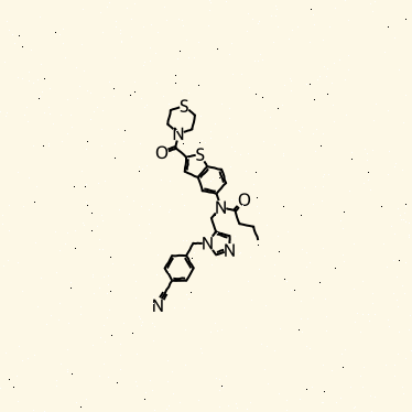 CCCC(=O)N(Cc1cncn1Cc1ccc(C#N)cc1)c1ccc2sc(C(=O)N3CCSCC3)cc2c1